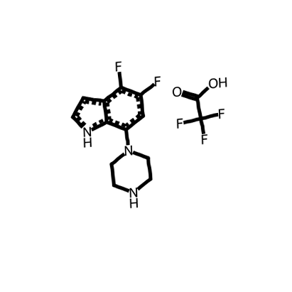 Fc1cc(N2CCNCC2)c2[nH]ccc2c1F.O=C(O)C(F)(F)F